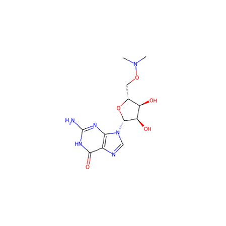 CN(C)OC[C@H]1O[C@@H](n2cnc3c(=O)[nH]c(N)nc32)[C@H](O)[C@@H]1O